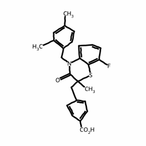 Cc1ccc(CN2C(=O)C(C)(Cc3ccc(C(=O)O)cc3)Sc3c(F)cccc32)c(C)c1